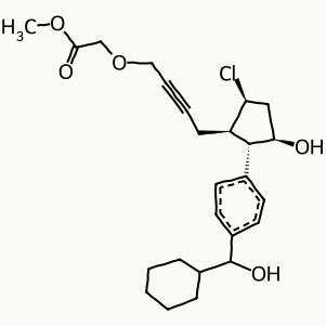 COC(=O)COCC#CC[C@@H]1[C@@H](c2ccc(C(O)C3CCCCC3)cc2)[C@H](O)C[C@@H]1Cl